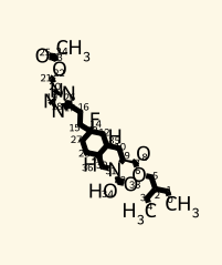 CCC(CC)COC(=O)[C@@H]1C[C@H]2C[C@@](F)(CCc3nnn(COC(C)=O)n3)CC[C@H]2CN1C(=O)O